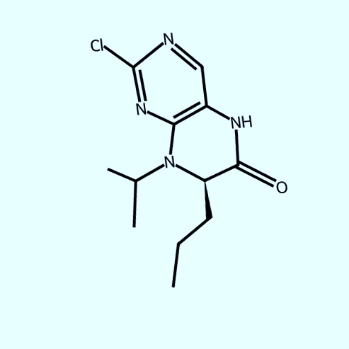 CCC[C@@H]1C(=O)Nc2cnc(Cl)nc2N1C(C)C